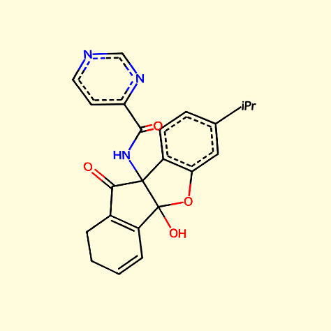 CC(C)c1ccc2c(c1)OC1(O)C3=C(CCC=C3)C(=O)C21NC(=O)c1ccncn1